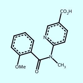 COc1ccccc1C(=O)N(C)c1ccc(C(=O)O)cn1